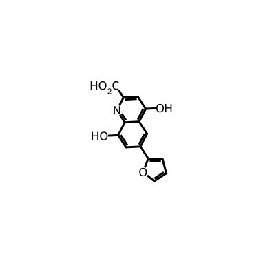 O=C(O)c1cc(O)c2cc(-c3ccco3)cc(O)c2n1